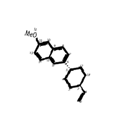 C=C[C@H]1CC[C@H](c2ccc3cc(OC)ccc3c2)CC1